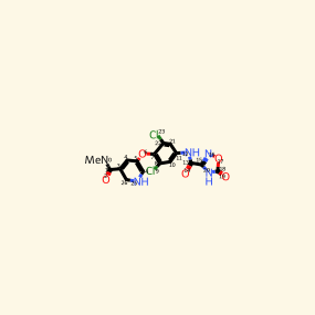 CNC(=O)C1=CC(Oc2c(Cl)cc(NC(=O)c3noc(=O)[nH]3)cc2Cl)=CNC1